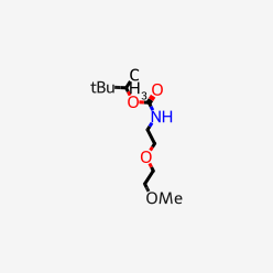 COCCOCCNC(=O)OC(C)C(C)(C)C